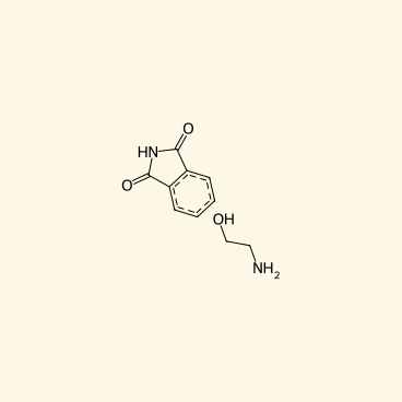 NCCO.O=C1NC(=O)c2ccccc21